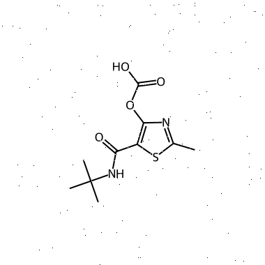 Cc1nc(OC(=O)O)c(C(=O)NC(C)(C)C)s1